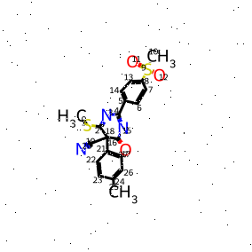 CSC1=NC(c2ccc(S(C)(=O)=O)cc2)=NC(=O)C1(C#N)c1ccc(C)cc1